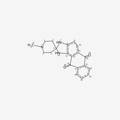 CN1CCC2(CC1)Nc1ccc3c(c1N2)C(=O)c1ccccc1C3=O